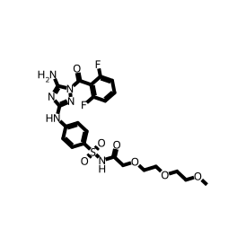 COCCOCCOCC(=O)NS(=O)(=O)c1ccc(Nc2nc(N)n(C(=O)c3c(F)cccc3F)n2)cc1